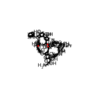 CC(C)C[C@H](C(=O)N[C@H]1C(=O)N[C@@H](CC(N)=O)C(=O)N[C@H]2C(=O)N[C@H]3C(=O)N[C@@H](C(=O)N[C@H](C(=O)NC4C5CC6CC(C5)CC4C6)c4cc(O)cc(O)c4-c4cc3ccc4O)[C@H](O)c3ccc(c(Cl)c3)Oc3cc2cc(c3OC2OC(CN)C(O)C(O)C2O)Oc2ccc(cc2Cl)[C@H]1O)N(C)C(=O)OC(C)(C)C